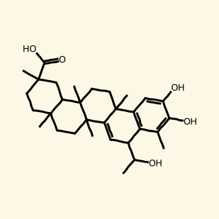 Cc1c(O)c(O)cc2c1C(C(C)O)C=C1C2(C)CCC2(C)C3CC(C)(C(=O)O)CCC3(C)CCC12C